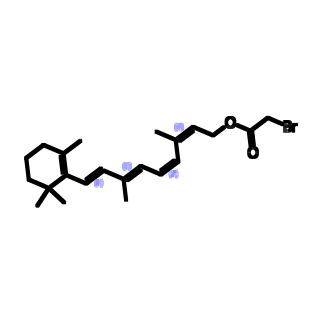 CC1=C(/C=C/C(C)=C/C=C\C(C)=C/COC(=O)CBr)C(C)(C)CCC1